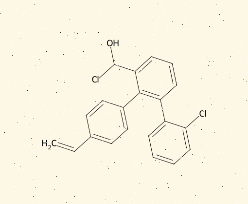 C=Cc1ccc(-c2c(-c3ccccc3Cl)cccc2C(O)Cl)cc1